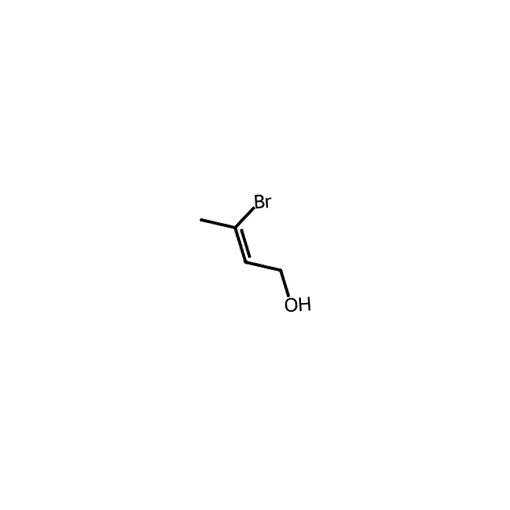 CC(Br)=CCO